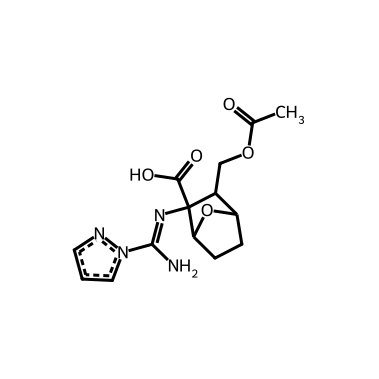 CC(=O)OCC1C2CCC(O2)C1(N=C(N)n1cccn1)C(=O)O